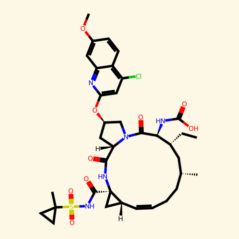 CC[C@@H]1C[C@H](C)CCC=C[C@@H]2C[C@@]2(C(=O)NS(=O)(=O)C2(C)CC2)NC(=O)[C@@H]2C[C@@H](Oc3cc(Cl)c4ccc(OC)cc4n3)CN2C(=O)[C@H]1NC(=O)O